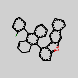 Fc1ccccc1-c1c2c(c(-c3cccc4oc5cc6ccccc6cc5c34)c3ccccc13)CCC=C2